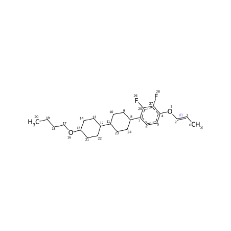 C/C=C/Oc1ccc(C2CCC(C3CCC(OCCCC)CC3)CC2)c(F)c1F